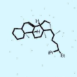 CC[C@H](CC[C@@H](C)[C@H]1CC[C@H]2C3=CCC4CCCC[C@]4(C)[C@H]3CC[C@]12C)C(C)C